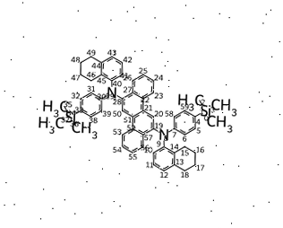 C[Si](C)(C)c1ccc(N(c2cccc3c2CCCC3)c2cc3c4ccccc4c(N(c4ccc([Si](C)(C)C)cc4)c4cccc5c4CCCC5)cc3c3ccccc23)cc1